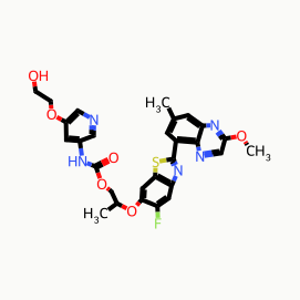 COc1cnc2c(-c3nc4cc(F)c(OC(C)COC(=O)Nc5cncc(OCCO)c5)cc4s3)cc(C)cc2n1